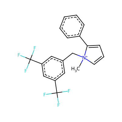 C[N+]1(Cc2cc(C(F)(F)F)cc(C(F)(F)F)c2)C=CC=C1c1ccccc1